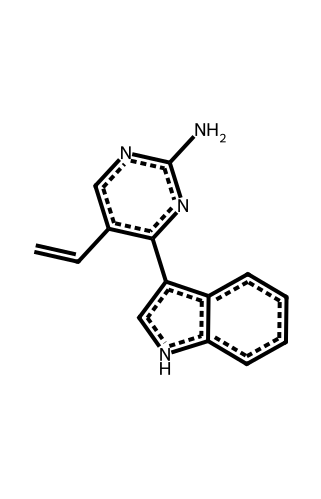 C=Cc1cnc(N)nc1-c1c[nH]c2ccccc12